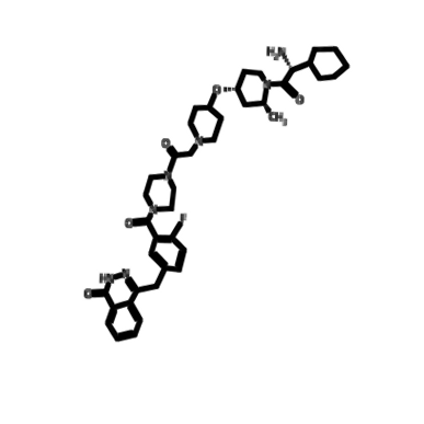 C[C@H]1C[C@H](OC2CCN(CC(=O)N3CCN(C(=O)c4cc(Cc5n[nH]c(=O)c6ccccc56)ccc4F)CC3)CC2)CCN1C(=O)[C@H](N)C1CCCCC1